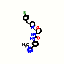 Cn1nnnc1-c1cccc(NC(=O)N[C@@H]2CCCO[C@H]2CN2CCC[C@@H](Cc3ccc(F)cc3)C2)c1